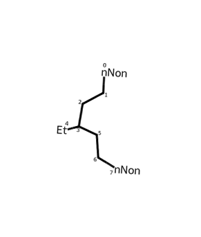 [CH2]CCCCCCCCCCC(CC)CCCCCCCCCC[CH2]